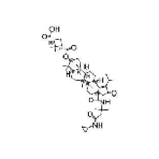 CC(C)C1=C2[C@H]3CC[C@@H]4[C@@]5(C)CC[C@H](OC(=O)[C@H]6C[C@@H](C(=O)O)C6(C)C)C(C)(C)[C@@H]5CC[C@@]4(C)[C@]3(C)CC[C@@]2(C(=O)NC(C)(C)CC(=O)NC2CC2)CC1=O